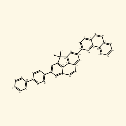 CC1(C)c2cc(-c3ccc(-c4ccncc4)cn3)cc3ccc4cc(-c5ccc6ccc7cccnc7c6n5)cc1c4c23